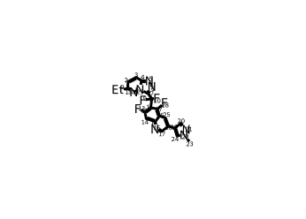 CCc1ccc2nnc(C(F)(F)c3c(F)cc4ncc(-c5cnn(C)c5)cc4c3F)n2n1